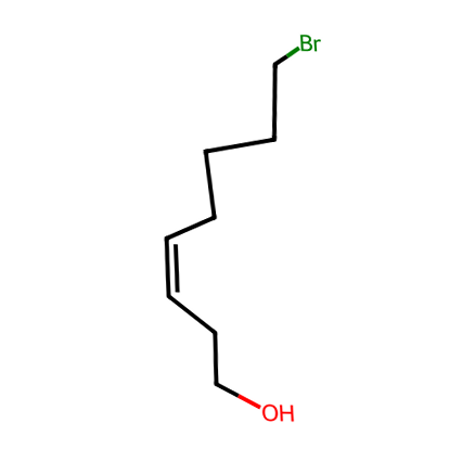 OCC/C=C\CCCCBr